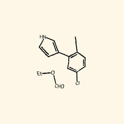 CCOC=O.Cc1ccc(Cl)cc1-c1cc[nH]c1